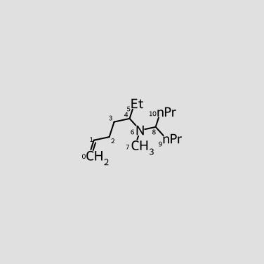 C=CCCC(CC)N(C)C(CCC)CCC